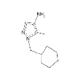 Cc1c(N)cnn1CC1CCCCC1